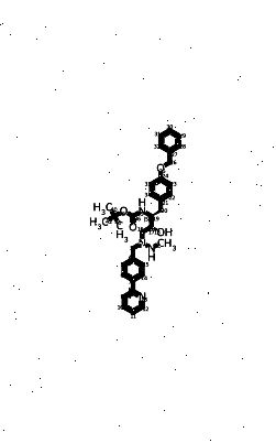 CNN(Cc1ccc(-c2ccccn2)cc1)C[C@H](O)[C@H](Cc1ccc(OCc2ccccc2)cc1)NC(=O)OC(C)(C)C